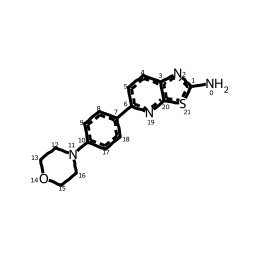 Nc1nc2ccc(-c3ccc(N4CCOCC4)cc3)nc2s1